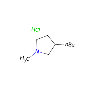 CCCCC1CCN(C)C1.Cl